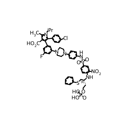 Cc1c(C(=O)O)c(-c2cc(F)cc(N3CCN(c4ccc(NS(=O)(=O)c5ccc(N[C@H](CCOP(=O)(O)O)CSc6ccccc6)c([N+](=O)[O-])c5)cc4)CC3)c2)c(-c2ccc(Cl)cc2)n1C(C)C